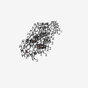 Bc1c(B)c(B)c(C(c2c(B)c(B)c(B)c(B)c2B)(c2c(B)c(B)c(B)c(-c3nc(-n4c5c(B)c(B)c(B)c(B)c5c5c(B)c(B)c(B)c(B)c54)nc(-n4c5c(B)c(B)c(B)c(B)c5c5c(B)c(B)c(B)c(B)c54)n3)c2B)c2c(B)c(B)c3c(c2B)-c2c(B)c(B)c(B)c(B)c2-c2c(B)c(B)c(B)c(B)c2-c2c(B)c(B)c(B)c(B)c2-3)c(B)c1B